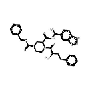 CC(NC(=O)C1CN(C(=O)OCc2ccccc2)CCN1C(=O)C(N)CCc1ccccc1)c1ccc2[nH]nnc2c1